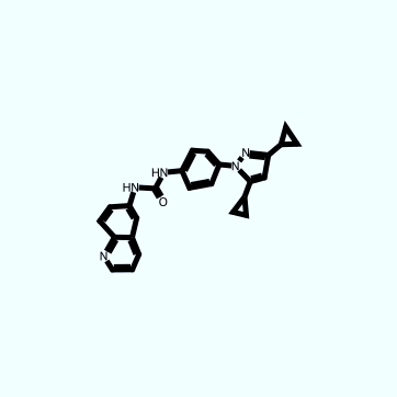 O=C(Nc1ccc(-n2nc(C3CC3)cc2C2CC2)cc1)Nc1ccc2ncccc2c1